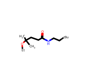 CCOC(C)(C)CCC(=O)NCCC(C)(C)C